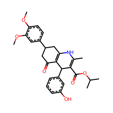 COc1ccc(C2CC(=O)C3=C(C2)NC(C)=C(C(=O)OC(C)C)C3c2cccc(O)c2)cc1OC